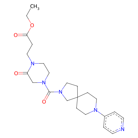 CCOC(=O)CCN1CCN(C(=O)N2CCC3(CCN(c4ccncc4)CC3)C2)CC1=O